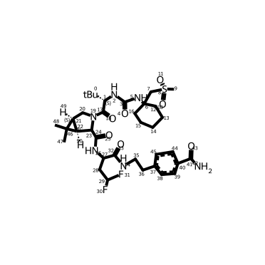 CC(C)(C)[C@H](NC(=O)NC1(CS(C)(=O)=O)CCCCC1)C(=O)N1C[C@H]2[C@@H](C1C(=O)NC(CC(F)F)C(=O)NCCc1ccc(C(N)=O)cc1)C2(C)C